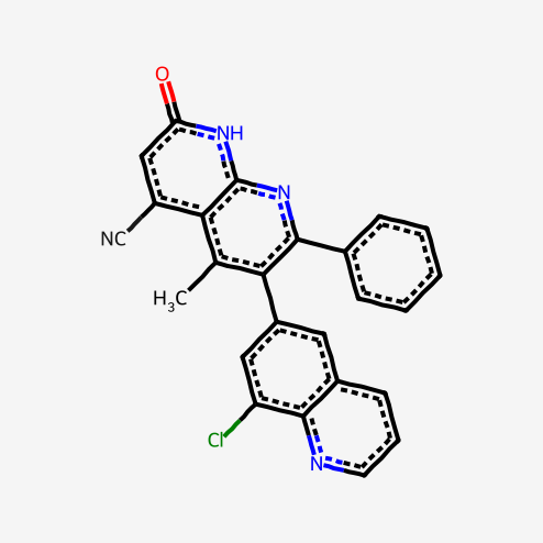 Cc1c(-c2cc(Cl)c3ncccc3c2)c(-c2ccccc2)nc2[nH]c(=O)cc(C#N)c12